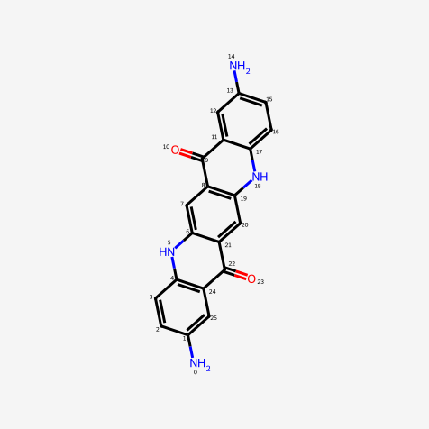 Nc1ccc2[nH]c3cc4c(=O)c5cc(N)ccc5[nH]c4cc3c(=O)c2c1